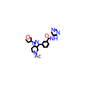 CC(=O)N1CCc2c(c(-c3cccc(C(=O)Nc4cncnc4)c3)nn2C2CCOC2)C1